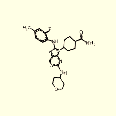 Cc1ccc(Nc2nc3cnc(NC4CCOCC4)nc3n2C2CCC(C(N)=O)CC2)c(F)c1